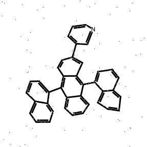 c1cncc(-c2ccc3c(-c4cccc5ccccc45)c4ccccc4c(-c4cccc5ccccc45)c3c2)c1